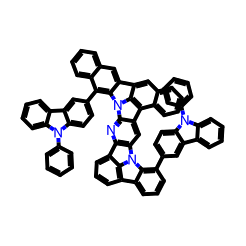 c1ccc(-n2c3ccccc3c3cc(-c4cccc5c6cccc7c8nc9c(cc8n(c45)c67)c4c5ccccc5cc5c6cc7ccccc7c(-c7ccc8c(c7)c7ccccc7n8-c7ccccc7)c6n9c54)ccc32)cc1